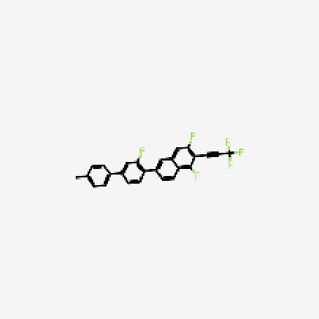 Cc1ccc(-c2ccc(-c3ccc4c(F)c(C#CC(F)(F)F)c(F)cc4c3)c(F)c2)cc1